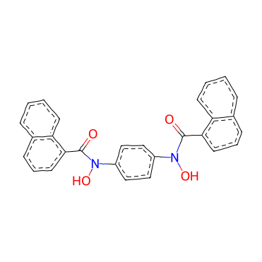 O=C(c1cccc2ccccc12)N(O)c1ccc(N(O)C(=O)c2cccc3ccccc23)cc1